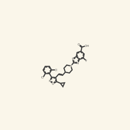 O=C(O)c1cc(F)c2nc(N3CCC(C=Cc4c(-c5c(Cl)cccc5Cl)noc4C4CC4)CC3)sc2c1